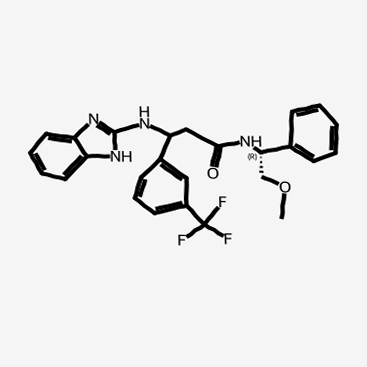 COC[C@H](NC(=O)CC(Nc1nc2ccccc2[nH]1)c1cccc(C(F)(F)F)c1)c1ccccc1